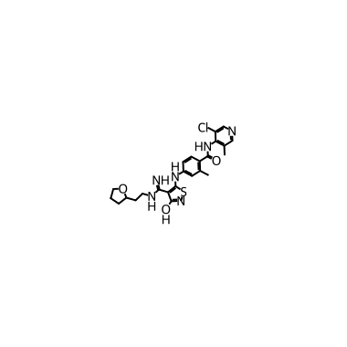 Cc1cc(Nc2snc(O)c2C(=N)NCCC2CCCO2)ccc1C(=O)Nc1c(C)cncc1Cl